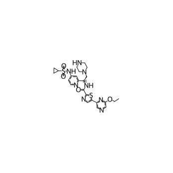 CCOc1cncc(-c2cnc(C(=O)N[C@H](CN3CCNCC3)c3cc(NS(=O)(=O)C4CC4)ccn3)s2)n1